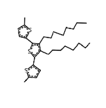 CCCCCCCCc1c(-c2ccc(C)s2)sc(-c2ccc(C)s2)c1CCCCCCCC